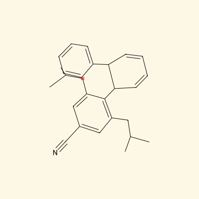 CC(C)Cc1cc(C#N)cc(CC(C)C)c1C1C=CC=CC1c1ccccc1